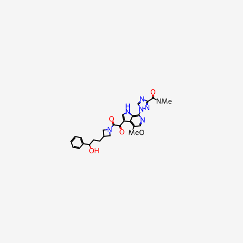 CNC(=O)c1ncn(-c2ncc(OC)c3c(C(=O)C(=O)N4CC(CCC(O)c5ccccc5)C4)c[nH]c23)n1